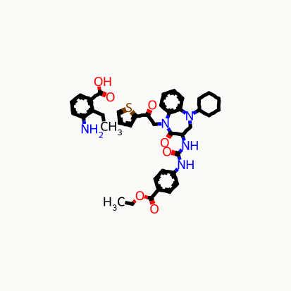 CCOC(=O)c1ccc(NC(=O)NC2CN(C3CCCCC3)c3ccccc3N(CC(=O)c3cccs3)C2=O)cc1.CCc1c(N)cccc1C(=O)O